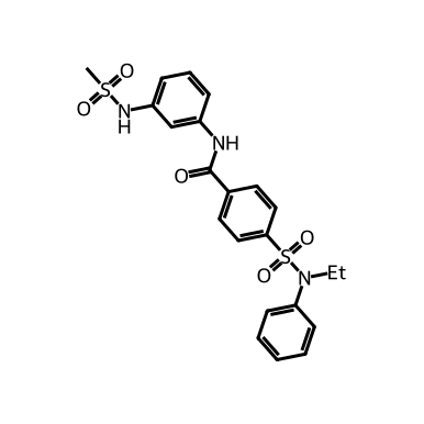 CCN(c1ccccc1)S(=O)(=O)c1ccc(C(=O)Nc2cccc(NS(C)(=O)=O)c2)cc1